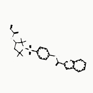 C=CC(=O)NC1CC(C)(C)N(S(=O)(=O)c2ccc(NC(=O)c3cc4ccccc4o3)cc2)C1(C)C